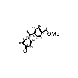 COCc1ccc(C(C)n2ccc(=O)cc2)cc1